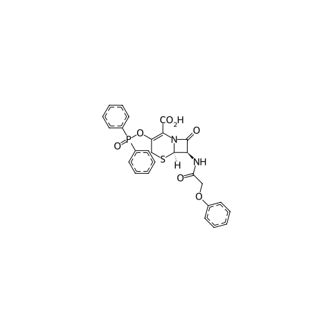 O=C(COc1ccccc1)N[C@@H]1C(=O)N2C(C(=O)O)=C(OP(=O)(c3ccccc3)c3ccccc3)CS[C@H]12